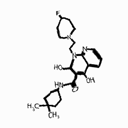 CC1(C)CCC(NC(=O)C2=C(O)c3cccnc3N(CCN3CCC(F)CC3)C2O)CC1